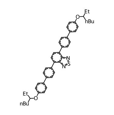 CCCCC(CC)Oc1ccc(-c2ccc(-c3ccc(-c4ccc(-c5ccc(OC(CC)CCCC)cc5)cc4)c4nsnc34)cc2)cc1